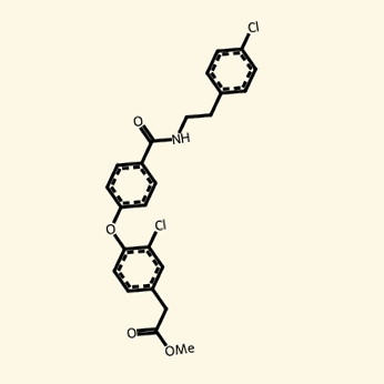 COC(=O)Cc1ccc(Oc2ccc(C(=O)NCCc3ccc(Cl)cc3)cc2)c(Cl)c1